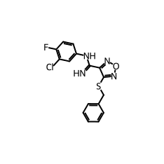 N=C(Nc1ccc(F)c(Cl)c1)c1nonc1SCc1ccccc1